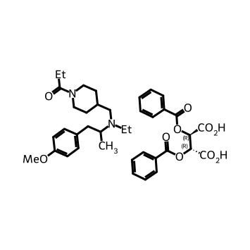 CCC(=O)N1CCC(CN(CC)C(C)Cc2ccc(OC)cc2)CC1.O=C(O[C@@H](C(=O)O)[C@@H](OC(=O)c1ccccc1)C(=O)O)c1ccccc1